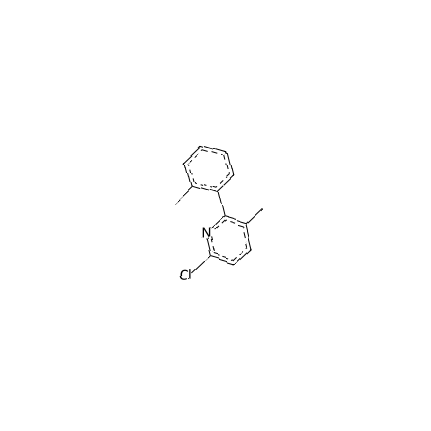 Cc1ccccc1-c1nc(Cl)ccc1C